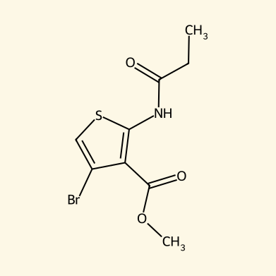 CCC(=O)Nc1scc(Br)c1C(=O)OC